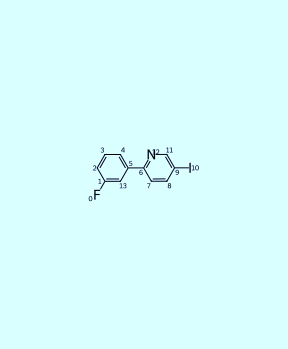 Fc1cccc(-c2ccc(I)cn2)c1